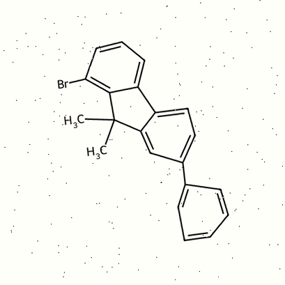 CC1(C)c2cc(-c3ccccc3)ccc2-c2cccc(Br)c21